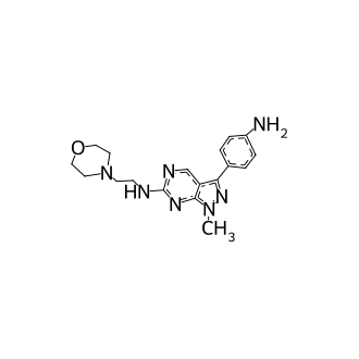 Cn1nc(-c2ccc(N)cc2)c2cnc(NCCN3CCOCC3)nc21